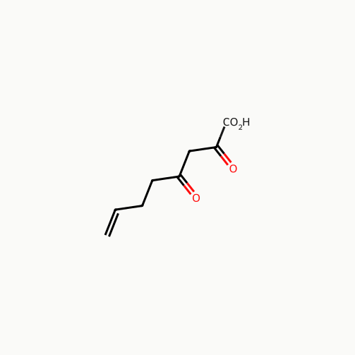 C=CCCC(=O)CC(=O)C(=O)O